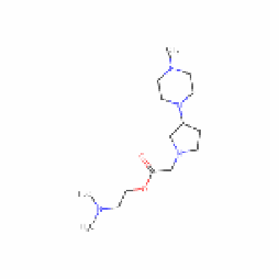 CN(C)CCOC(=O)CN1CCC(N2CCN(C)CC2)C1